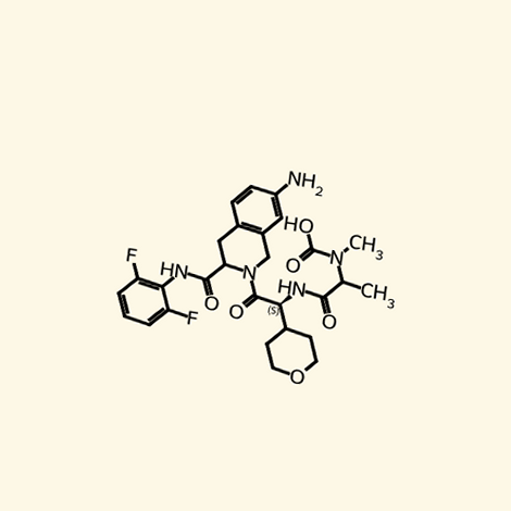 CC(C(=O)N[C@H](C(=O)N1Cc2cc(N)ccc2CC1C(=O)Nc1c(F)cccc1F)C1CCOCC1)N(C)C(=O)O